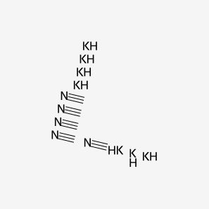 C#N.C#N.C#N.C#N.C#N.[KH].[KH].[KH].[KH].[KH].[KH].[KH]